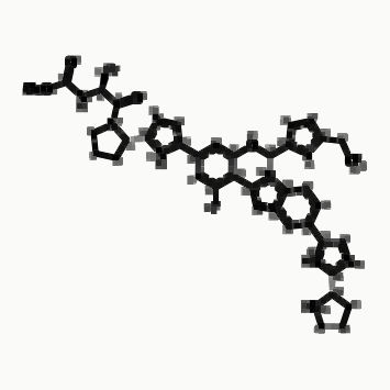 COC(=O)N[C@H](C(=O)N1CCC[C@H]1c1ncc(-c2cc(F)c3c(c2)OC(c2ccc(CC(F)(F)F)s2)n2c-3cc3cc(-c4cnc([C@@H]5CCCN5)[nH]4)ccc32)[nH]1)C(C)C